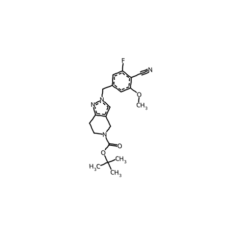 COc1cc(Cn2cc3c(n2)CCN(C(=O)OC(C)(C)C)C3)cc(F)c1C#N